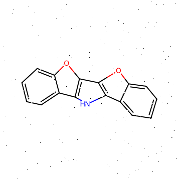 c1ccc2c(c1)oc1c2[nH]c2c3ccccc3oc21